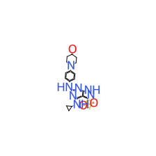 CS(=O)(=O)c1n[nH]c2nc(Nc3ccc(N4CCC(=O)CC4)cc3)nc(NC3CC3)c12